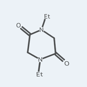 CCN1CC(=O)N(CC)CC1=O